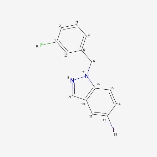 Fc1cccc(Cn2ncc3cc(I)ccc32)c1